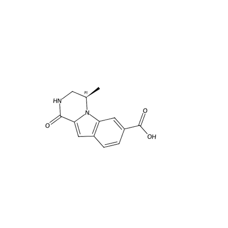 C[C@@H]1CNC(=O)c2cc3ccc(C(=O)O)cc3n21